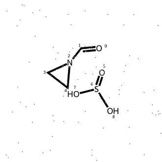 O=CN1CC1.O=S(O)O